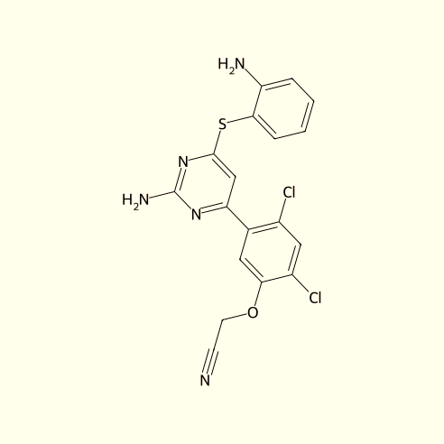 N#CCOc1cc(-c2cc(Sc3ccccc3N)nc(N)n2)c(Cl)cc1Cl